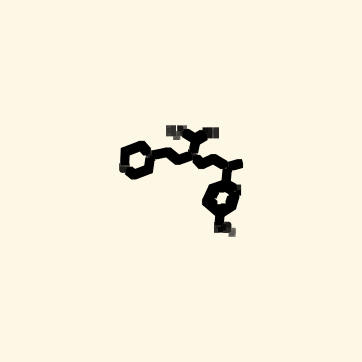 CN(CCN(CCN1CCOCC1)C(=N)N)c1ccc([N+](=O)[O-])cn1